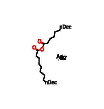 CCCCCCCCCCCCCCCCCC(=O)OC(=O)CCCCCCCCCCCCCCC.[Ag].[Ag]